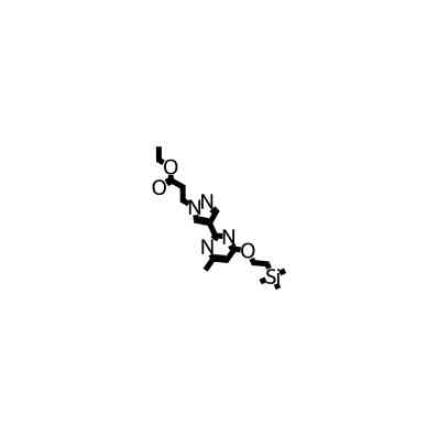 CCOC(=O)CCn1cc(-c2nc(C)cc(OCC[Si](C)(C)C)n2)cn1